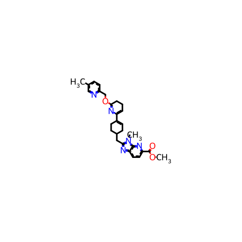 COC(=O)c1ccc2nc(CC3CC=C(C4=CCCC(OCc5ccc(C)cn5)=N4)CC3)n(C)c2n1